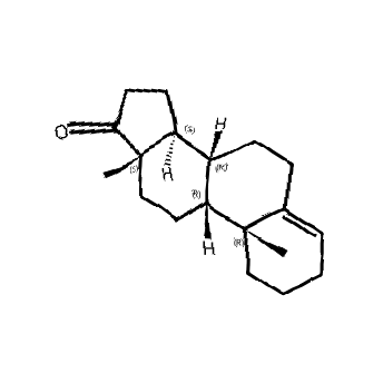 C[C@]12CCCC=C1CC[C@@H]1[C@H]2CC[C@]2(C)C(=O)CC[C@@H]12